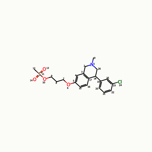 CN1Cc2cc(OCCCOS(C)(=O)=O)ccc2C(c2cccc(Cl)c2)C1